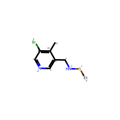 CCSNCc1cncc(Br)c1C